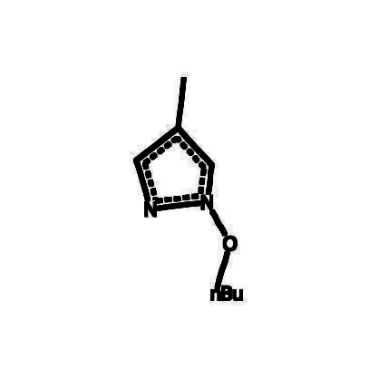 CCCCOn1cc(C)cn1